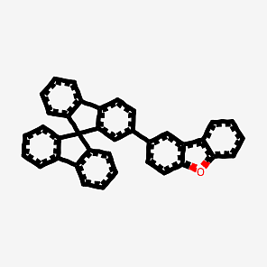 c1ccc2c(c1)-c1ccccc1C21c2ccccc2-c2ccc(-c3ccc4oc5ccccc5c4c3)cc21